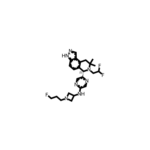 CC1(C)Cc2c(ccc3[nH]ncc23)[C@@H](c2cnc(NC3CN(CCCF)C3)cn2)N1CC(F)F